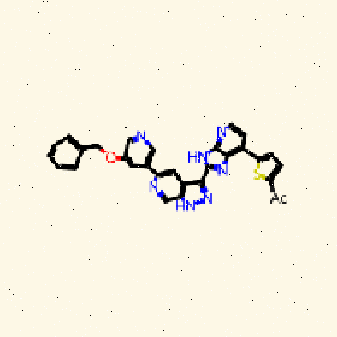 CC(=O)c1ccc(-c2ccnc3[nH]c(-c4n[nH]c5cnc(-c6cncc(OCc7ccccc7)c6)cc45)nc23)s1